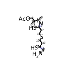 CC(=O)OCC(=O)N(C)/N=C(\S)CCSCC/C(S)=N/N